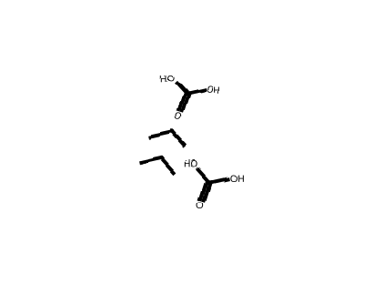 CCC.CCC.O=C(O)O.O=C(O)O